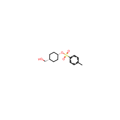 Cc1ccc(S(=O)(=O)O[C@H]2CC[C@@H](CO)CC2)cc1